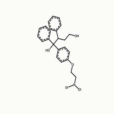 CCN(CC)CCOc1ccc(C(O)(c2ccccc2)C(CCO)c2ccccc2)cc1